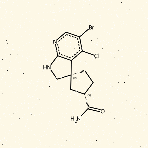 NC(=O)[C@H]1CC[C@@]2(CNc3ncc(Br)c(Cl)c32)C1